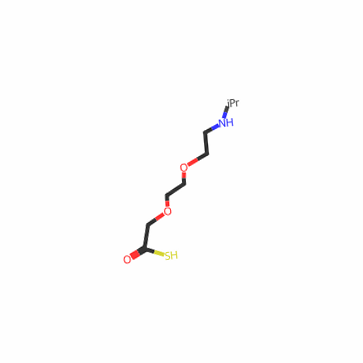 CC(C)NCCOCCOCC(=O)S